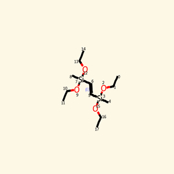 CCO[Si](C)(/C=C/[Si](C)(OCC)OCC)OCC